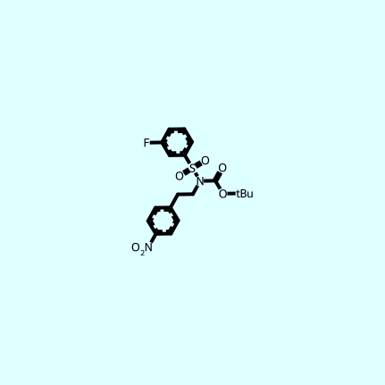 CC(C)(C)OC(=O)N(CCc1ccc([N+](=O)[O-])cc1)S(=O)(=O)c1cccc(F)c1